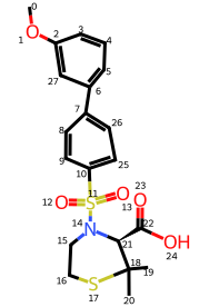 COc1cccc(-c2ccc(S(=O)(=O)N3CCSC(C)(C)[C@@H]3C(=O)O)cc2)c1